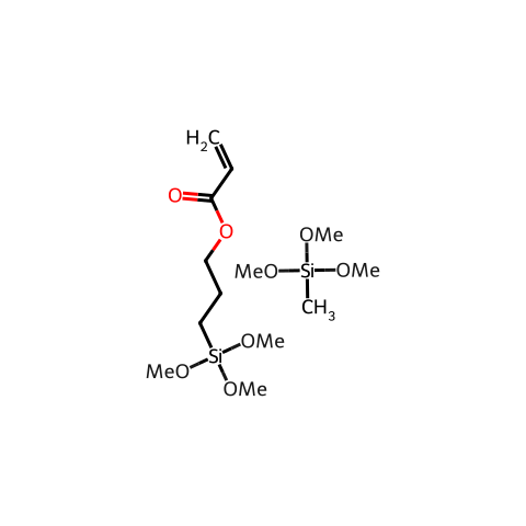 C=CC(=O)OCCC[Si](OC)(OC)OC.CO[Si](C)(OC)OC